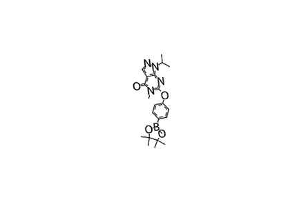 CC(C)n1ncc2c(=O)n(C)c(Oc3ccc(B4OC(C)(C)C(C)(C)O4)cc3)nc21